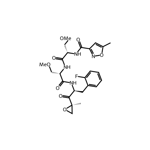 COC[C@H](NC(=O)c1cc(C)on1)C(=O)N[C@@H](COC)C(=O)N[C@@H](Cc1ccccc1F)C(=O)[C@@]1(C)CO1